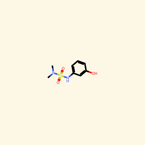 CN(C)S(=O)(=O)Nc1cccc(O)c1